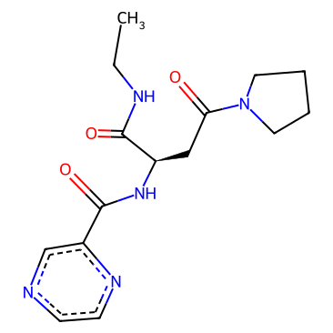 CCNC(=O)[C@@H](CC(=O)N1CCCC1)NC(=O)c1cnccn1